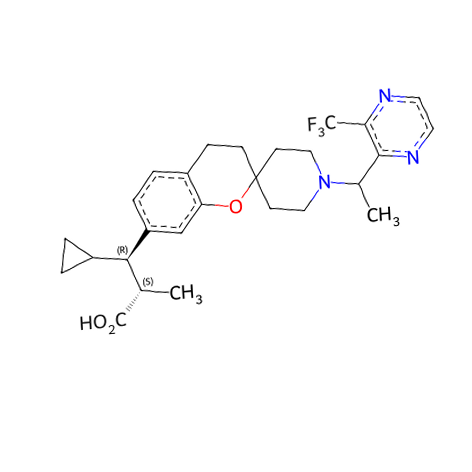 CC(c1nccnc1C(F)(F)F)N1CCC2(CCc3ccc([C@H](C4CC4)[C@H](C)C(=O)O)cc3O2)CC1